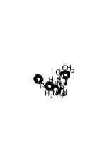 C=C1CC[C@@H](Cn2nc(-c3ccc(Oc4ccccc4)cc3)c3c(N)ncnc32)N(C)C1=O